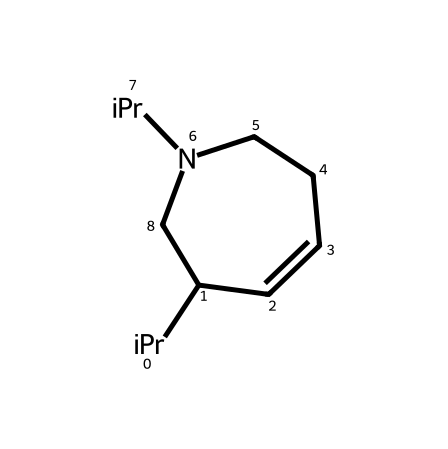 CC(C)C1C=CCCN(C(C)C)C1